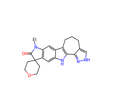 CCN1C(=O)C2(CCOCC2)c2cc3[nH]c4c(c3cc21)CCCc1c[nH]nc1-4